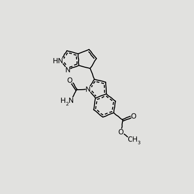 COC(=O)c1ccc2c(c1)cc(C1C=Cc3c[nH]nc31)n2C(N)=O